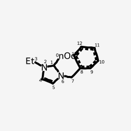 CCCCCCCCC1N(CC)C=CN1Cc1ccccc1